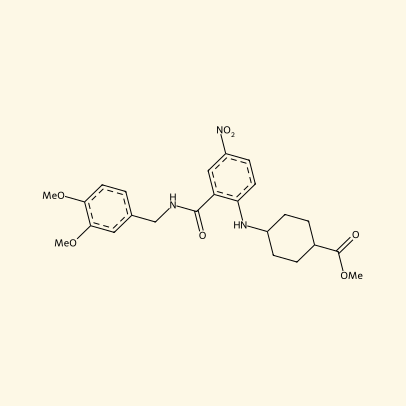 COC(=O)C1CCC(Nc2ccc([N+](=O)[O-])cc2C(=O)NCc2ccc(OC)c(OC)c2)CC1